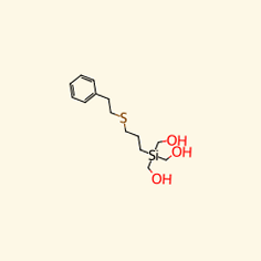 OC[Si](CO)(CO)CCCSCCc1ccccc1